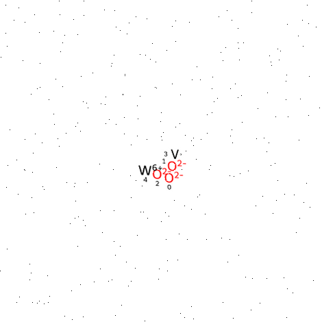 [O-2].[O-2].[O-2].[V].[W+6]